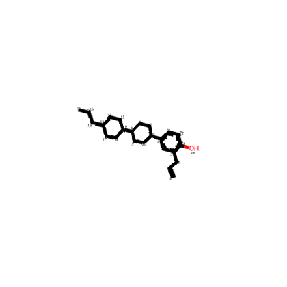 C=CCc1cc(C2CCC(C3CCC(CCC)CC3)CC2)ccc1O